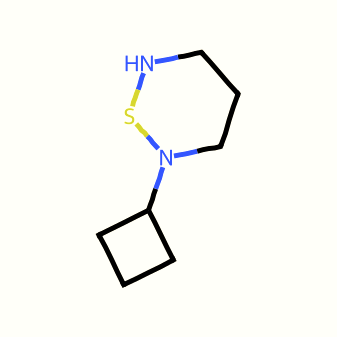 C1CC(N2CCCNS2)C1